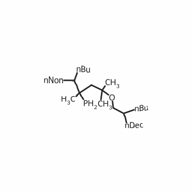 CCCCCCCCCCC(CCCC)COC(C)(C)CC(C)(P)C(CCCC)CCCCCCCCC